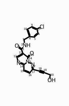 O=C(NCc1ccc(Cl)cc1)c1cnc2ccc(C#CCO)nn2c1=O